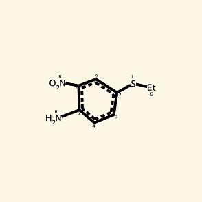 CCSc1ccc(N)c([N+](=O)[O-])c1